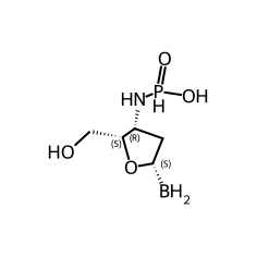 B[C@H]1C[C@@H](N[PH](=O)O)[C@@H](CO)O1